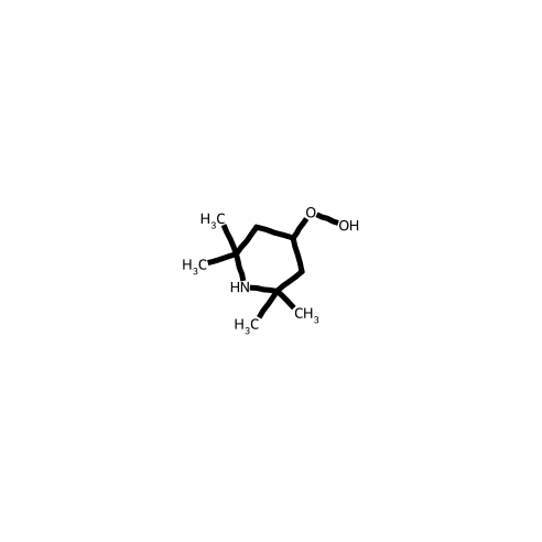 CC1(C)CC(OO)CC(C)(C)N1